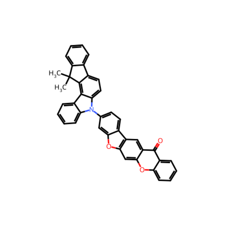 CC1(C)c2ccccc2-c2ccc3c(c21)c1ccccc1n3-c1ccc2c(c1)oc1cc3oc4ccccc4c(=O)c3cc12